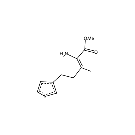 COC(=O)C(N)=C(C)CCc1ccsc1